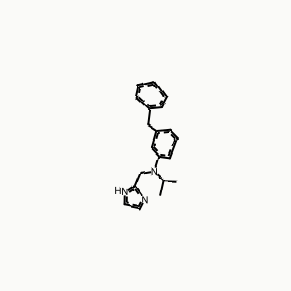 CC(C)N(Cc1ncc[nH]1)c1cccc(Cc2ccccc2)c1